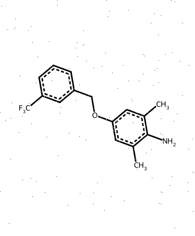 Cc1cc(OCc2cccc(C(F)(F)F)c2)cc(C)c1N